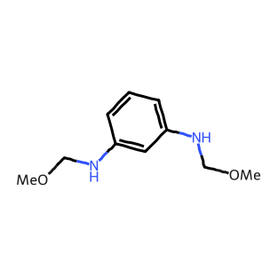 COCNc1cccc(NCOC)c1